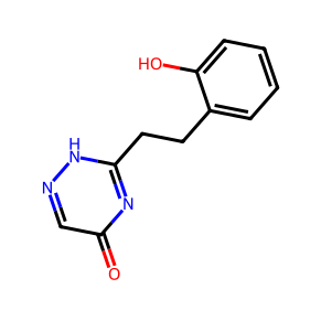 O=c1cn[nH]c(CCc2ccccc2O)n1